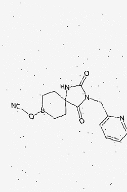 N#COB1CCC2(CC1)NC(=O)N(Cc1ccccn1)C2=O